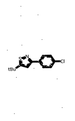 CC(C)(C)c1cc(-c2ccc(Cl)cc2)ns1